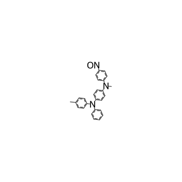 Cc1ccc(N(c2ccccc2)c2ccc(N(C)c3ccc(N=O)cc3)cc2)cc1